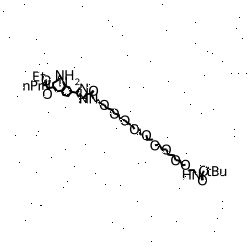 CCCN(OCC)C(=O)C1=Cc2ccc(-c3cnc(C(=O)NCCOCCOCCOCCOCCOCCOCCOCCOCCOCCNC(=O)OC(C)(C)C)nc3)cc2N=C(N)C1